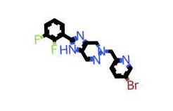 Fc1cccc(-c2nc3c([nH]2)C=NN(Cc2ccc(Br)cn2)C3)c1F